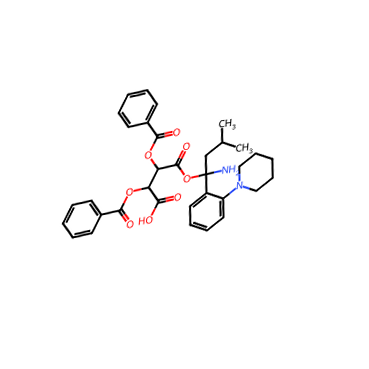 CC(C)CC(N)(OC(=O)C(OC(=O)c1ccccc1)C(OC(=O)c1ccccc1)C(=O)O)c1ccccc1N1CCCCC1